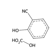 N#Cc1ccccc1O.O=C(O)O